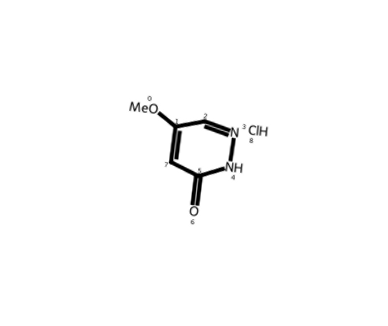 COc1cn[nH]c(=O)c1.Cl